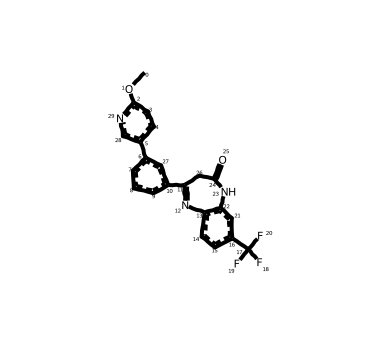 COc1ccc(-c2cccc(C3=Nc4ccc(C(F)(F)F)cc4NC(=O)C3)c2)cn1